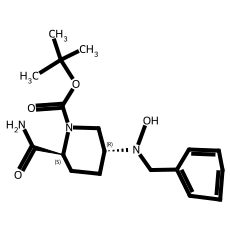 CC(C)(C)OC(=O)N1C[C@H](N(O)Cc2ccccc2)CC[C@H]1C(N)=O